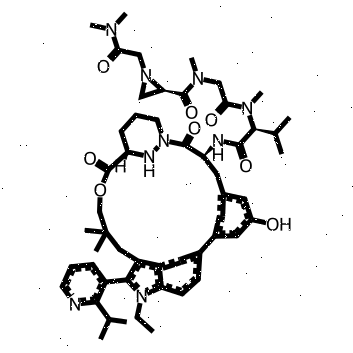 CCn1c(-c2cccnc2C(C)C)c2c3cc(ccc31)-c1cc(O)cc(c1)C[C@H](NC(=O)[C@H](C(C)C)N(C)C(=O)CN(C)C(=O)[C@H]1CN1CC(=O)N(C)C)C(=O)N1CCC[C@H](N1)C(=O)OCC(C)(C)C2